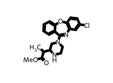 COC(=O)C(C)C1CN(C2=Nc3cc(Cl)ccc3Oc3ccccc32)CCN1